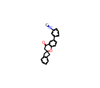 [C-]#[N+]c1cccc(-c2ccc3c(c2)C(=O)CC2(Cc4ccccc4C2)O3)c1